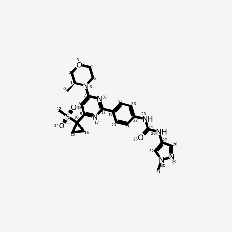 C[C@H]1COCCN1c1cc(C2(S(C)(=O)=O)CC2)nc(-c2ccc(NC(=O)Nc3cnn(C)c3)cc2)n1